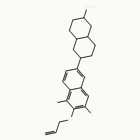 C=CCOc1c(F)cc2cc(C3CCC4CC(CCCC)CCC4C3)ccc2c1F